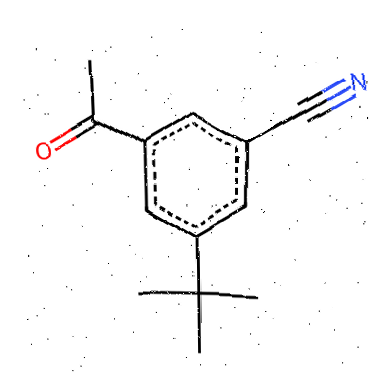 CC(=O)c1cc(C#N)cc(C(C)(C)C)c1